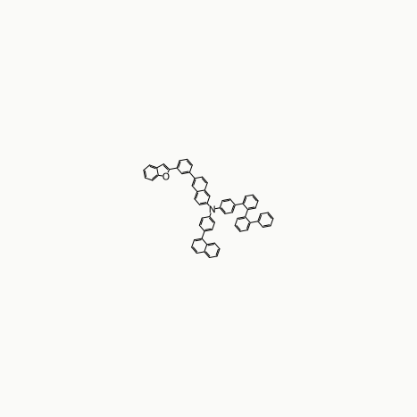 c1ccc(-c2ccccc2-c2ccccc2-c2ccc(N(c3ccc(-c4cccc5ccccc45)cc3)c3ccc4cc(-c5cccc(-c6cc7ccccc7o6)c5)ccc4c3)cc2)cc1